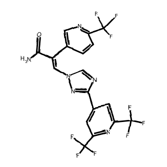 NC(=O)/C(=C/n1cnc(-c2cc(C(F)(F)F)nc(C(F)(F)F)c2)n1)c1ccc(C(F)(F)F)nc1